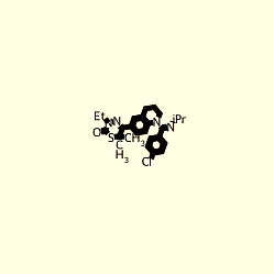 CCN1N=C(c2ccc3c(c2)CCCN3/C(=N\C(C)C)c2ccc(Cl)cc2)C(C)(C)SC1=O